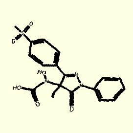 CC1(N(O)C(=O)O)C(=O)N(c2ccccc2)N=C1c1ccc(S(C)(=O)=O)cc1